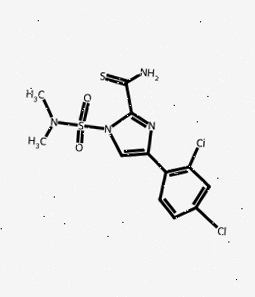 CN(C)S(=O)(=O)n1cc(-c2ccc(Cl)cc2Cl)nc1C(N)=S